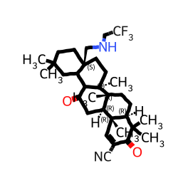 CC1(C)CC[C@]2(CNCC(F)(F)F)CC[C@]3(C)C(C(=O)C[C@@H]4[C@@]5(C)C=C(C#N)C(=O)C(C)(C)[C@@H]5CC[C@]43C)C2C1